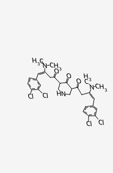 CN(C)/C(=C/c1ccc(Cl)c(Cl)c1)CC(=O)C1CNCC(C(=O)C/C(=C\c2ccc(Cl)c(Cl)c2)N(C)C)C1=O